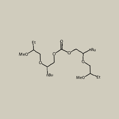 CCCCC(COC(=O)OCC(CCCC)OCC(CC)OC)OCC(CC)OC